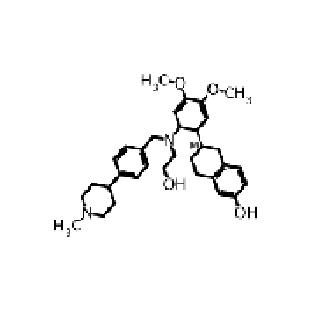 COC1=CC([C@@H]2CCc3cc(O)ccc3C2)C(N(CCO)Cc2ccc(C3CCN(C)CC3)cc2)C=C1OC